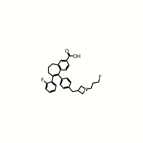 O=C(O)c1ccc2c(c1)CCCC(c1ccccc1F)=C2c1ccc(CC2CN(CCCF)C2)cc1